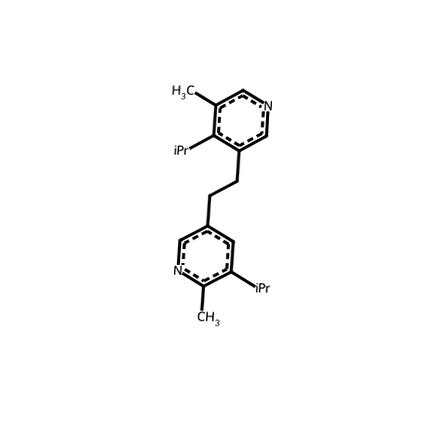 Cc1cncc(CCc2cnc(C)c(C(C)C)c2)c1C(C)C